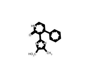 Cc1nc(-c2c(-c3ccccc3)cc[nH]c2=O)sc1C(=O)O